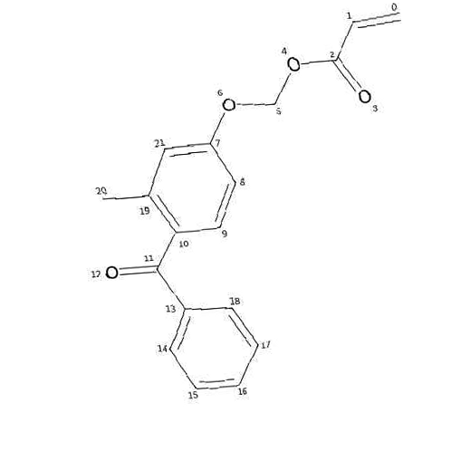 C=CC(=O)OCOc1ccc(C(=O)c2ccccc2)c(C)c1